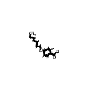 CCCCC=CCOc1ccc(C(=O)Cl)cc1